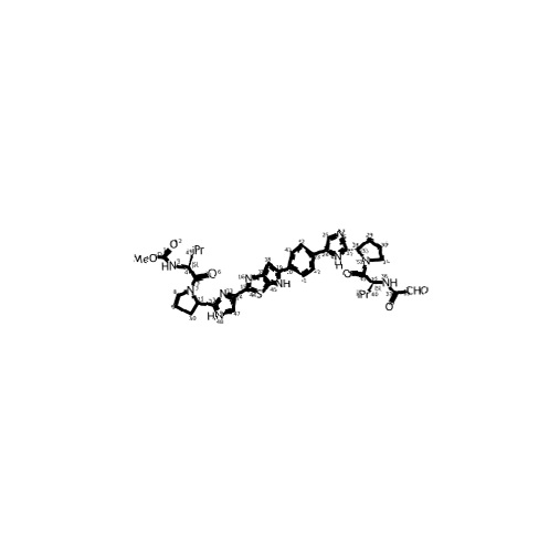 COC(=O)N[C@H](C(=O)N1CCCC1c1nc(-c2nc3cc(-c4ccc(-c5cnc([C@@H]6CCCN6C(=O)[C@@H](NC(=O)C=O)C(C)C)[nH]5)cc4)[nH]c3s2)c[nH]1)C(C)C